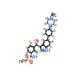 CCCS(=O)(=O)Nc1ccc(F)c(C(=O)c2c[nH]c3ccc(-c4ccc(N5CCN(C(C)=O)CC5)cc4)cc23)c1F